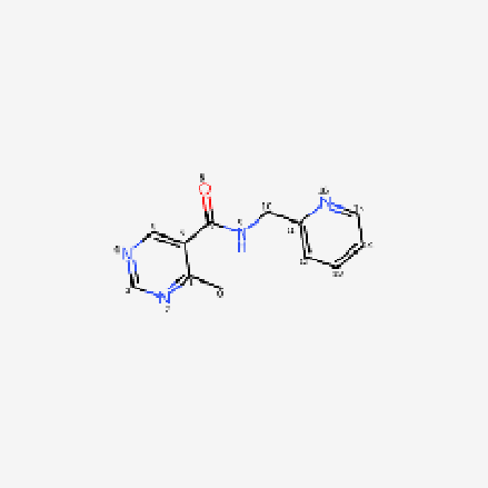 Cc1ncncc1C(=O)NCc1ccccn1